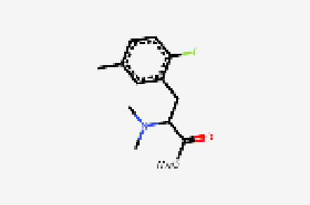 COC(=O)C(Cc1cc(C)ccc1F)N(C)C